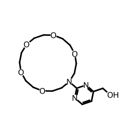 OCc1ccnc(N2CCOCCOCCOCCOCCOCC2)n1